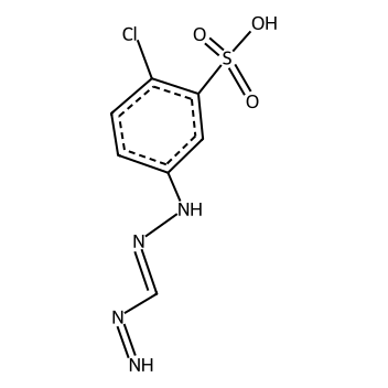 N=NC=NNc1ccc(Cl)c(S(=O)(=O)O)c1